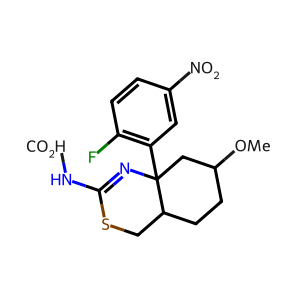 COC1CCC2CSC(NC(=O)O)=NC2(c2cc([N+](=O)[O-])ccc2F)C1